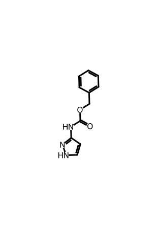 O=C(Nc1cc[nH]n1)OCc1ccccc1